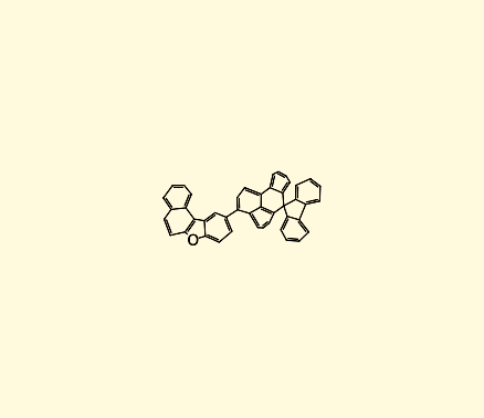 c1ccc2c(c1)-c1ccccc1C21c2ccccc2-c2ccc(-c3ccc4oc5ccc6ccccc6c5c4c3)c3cccc1c23